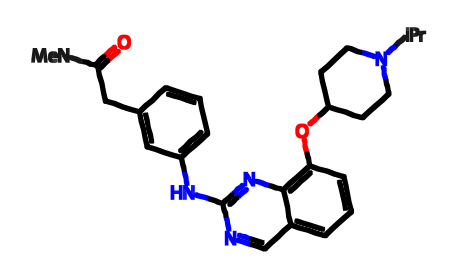 CNC(=O)Cc1cccc(Nc2ncc3cccc(OC4CCN(C(C)C)CC4)c3n2)c1